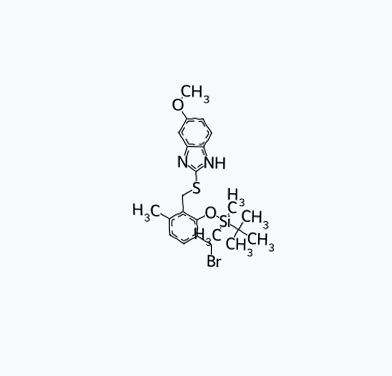 COc1ccc2[nH]c(SCc3c(C)ccc(CBr)c3O[Si](C)(C)C(C)(C)C)nc2c1